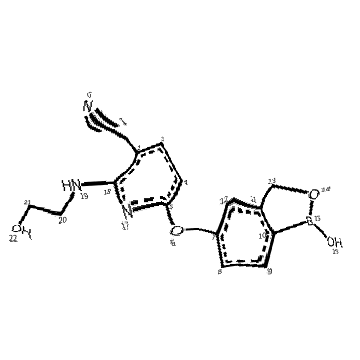 N#Cc1ccc(Oc2ccc3c(c2)COB3O)nc1NCCO